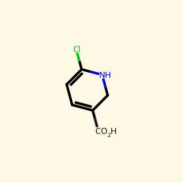 O=C(O)C1=CC=C(Cl)NC1